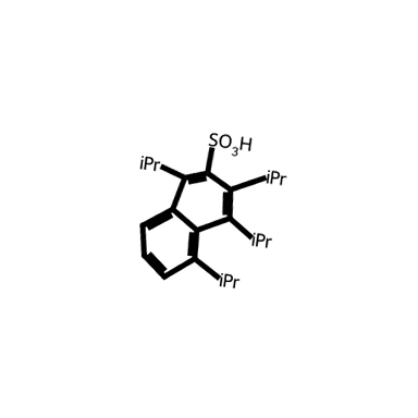 CC(C)c1c(S(=O)(=O)O)c(C(C)C)c2cccc(C(C)C)c2c1C(C)C